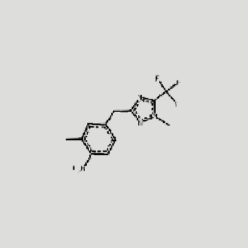 Cc1cc(Cc2nc(C(F)(F)F)n(C)n2)ccc1N